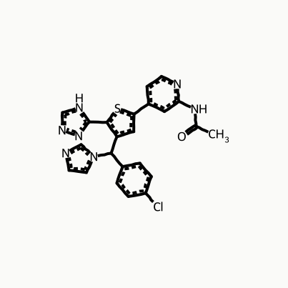 CC(=O)Nc1cc(-c2cc(C(c3ccc(Cl)cc3)n3ccnc3)c(-c3nnc[nH]3)s2)ccn1